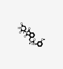 COc1cccc(NC(=O)N(C)Cc2cccc3c2C(=O)N([C@@]2(C)CCC(=O)NC2=O)C3=O)c1